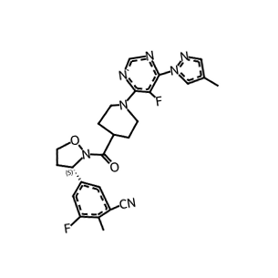 Cc1cnn(-c2ncnc(N3CCC(C(=O)N4OCC[C@H]4c4cc(F)c(C)c(C#N)c4)CC3)c2F)c1